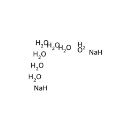 O.O.O.O.O.O.O.[NaH].[NaH]